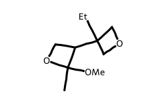 CCC1(C2COC2(C)OC)COC1